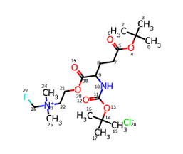 CC(C)(C)OC(=O)CCC(NC(=O)OC(C)(C)C)C(=O)OCC[N+](C)(C)CF.[Cl-]